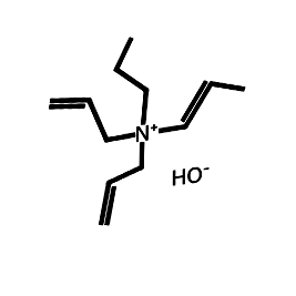 C=CC[N+](C=CC)(CC=C)CCC.[OH-]